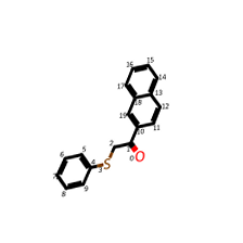 O=C(CSc1cc[c]cc1)c1ccc2ccccc2c1